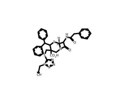 C#CCn1nnnc1SCC1(C(=O)O)CN2C(=O)C(NC(=O)Cc3ccccc3)[C@H]2SC1C(c1ccccc1)c1ccccc1